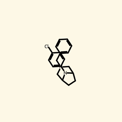 Clc1ccc(N2C3CCC2CN(Cc2ccccc2)C3)cc1